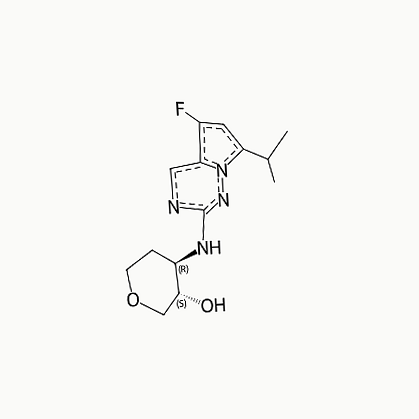 CC(C)c1cc(F)c2cnc(N[C@@H]3CCOC[C@H]3O)nn12